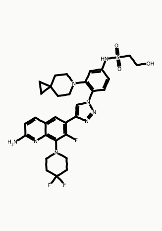 Nc1ccc2cc(-c3cn(-c4ccc(NS(=O)(=O)CCO)cc4N4CCC5(CC4)CC5)nn3)c(F)c(N3CCC(F)(F)CC3)c2n1